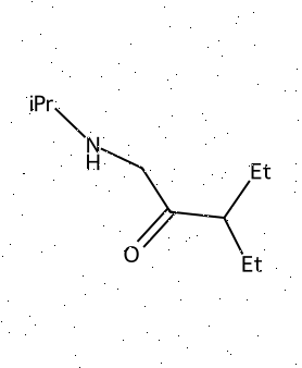 CCC(CC)C(=O)CNC(C)C